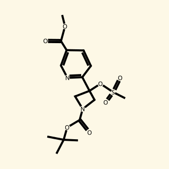 COC(=O)c1ccc(C2(OS(C)(=O)=O)CN(C(=O)OC(C)(C)C)C2)nc1